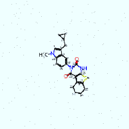 Cn1cc(CC2CC2)c2cc(-n3c(=O)[nH]c4sc5c(c4c3=O)CCCC5)ccc21